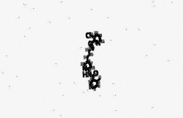 Cc1ccncc1C(=O)Nc1ccc(CC/C=N/Oc2ncccc2Cl)cn1